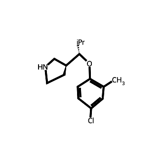 Cc1cc(Cl)ccc1O[C@@H](C(C)C)[C@H]1CCNC1